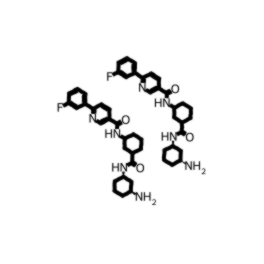 N[C@@H]1CCC[C@@H](NC(=O)C2CCCC(NC(=O)c3ccc(-c4cccc(F)c4)nc3)C2)C1.N[C@H]1CCC[C@@H](NC(=O)C2CCCC(NC(=O)c3ccc(-c4cccc(F)c4)nc3)C2)C1